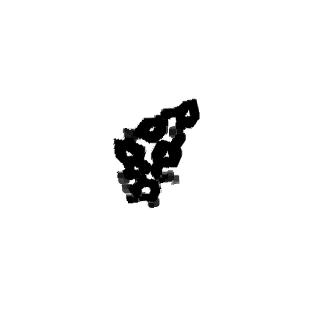 NCc1ccc(COc2ccccc2CN2CC[C@H](Oc3ccc4c(c3)CN(C3CCC(=O)NC3=O)C4=O)C2)cc1